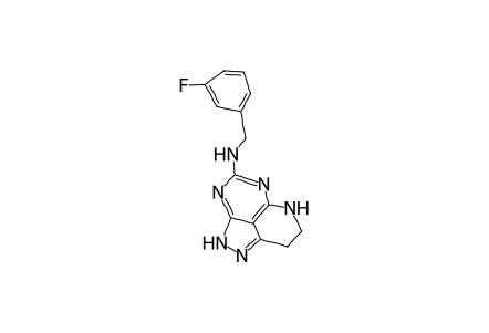 Fc1cccc(CNc2nc3c4c(n[nH]c4n2)CCN3)c1